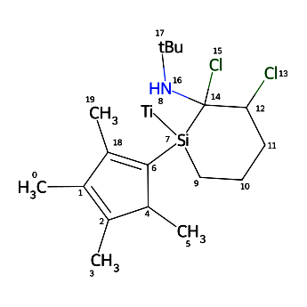 CC1=C(C)C(C)C([Si]2([Ti])CCCC(Cl)C2(Cl)NC(C)(C)C)=C1C